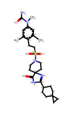 Cc1cc(N(C)C(N)=O)cc(C)c1CCS(=O)(=O)N1CCC2(CC1)N=C(C1CCC3(CC1)CC3)NC2=O